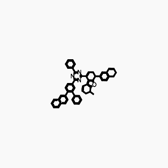 CC1CC=Cc2c1oc1c2C(c2nc(-c3ccccc3)nc(-c3ccc(-c4ccc5ccccc5c4)c(-c4ccccc4)c3)n2)=CCC1c1ccc2c(c1)C=CCC2